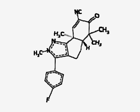 [C-]#[N+]C1=C[C@]2(C)c3nn(C)c(-c4ccc(F)cc4)c3CC[C@H]2C(C)(C)C1=O